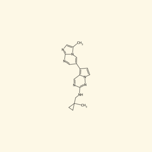 Cc1cnc2ncc(-c3ccn4nc(NCC5(C)CC5)ncc34)cn12